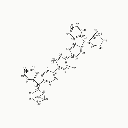 Cc1cc(-c2ccc3c(c2)c2cnccc2n3C2CCC3C4C3C42)c(C)cc1-c1ccc2c(c1)-c1cnccc1C2C12CCCC3C1C32